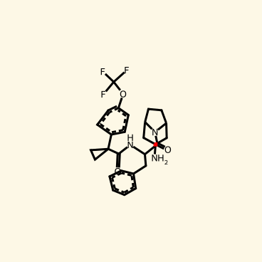 NC1CC2CCC(C1)N2C(=O)C(Cc1ccccc1)NC(=O)C1(c2ccc(OC(F)(F)F)cc2)CC1